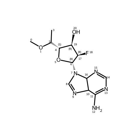 COC(C)[C@H]1O[C@@H](N2C=NC3C(N)=NC=NC32)[C@H](F)[C@@H]1O